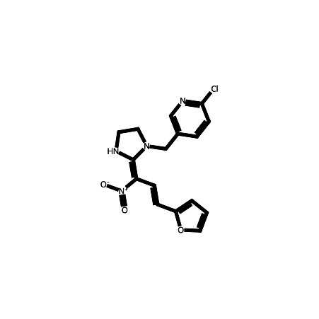 O=[N+]([O-])C(/C=C/c1ccco1)=C1\NCCN1Cc1ccc(Cl)nc1